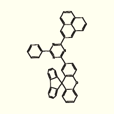 C1=Cc2cc(-c3nc(-c4ccccc4)nc(-c4ccc5c(c4)C4(c6ccccc6O5)c5ccccc5-c5ccccc54)n3)cc3cccc(c23)C1